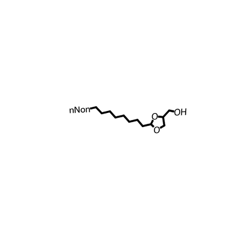 CCCCCCCCCCCCCCCCCC1OCC(CO)O1